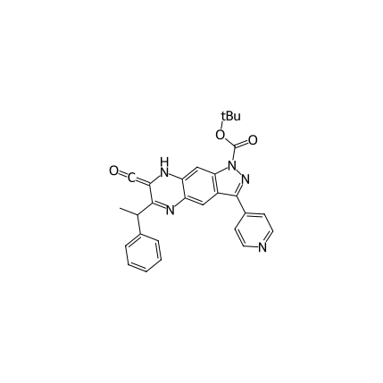 CC(C1=Nc2cc3c(-c4ccncc4)nn(C(=O)OC(C)(C)C)c3cc2NC1=C=O)c1ccccc1